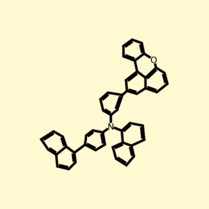 c1cc(-c2cc3c4c(cccc4c2)Oc2ccccc2-3)cc(N(c2ccc(-c3cccc4ccccc34)cc2)c2cccc3ccccc23)c1